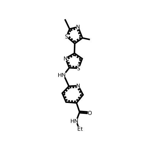 CCNC(=O)c1ccc(Nc2nc(-c3sc(C)nc3C)cs2)nc1